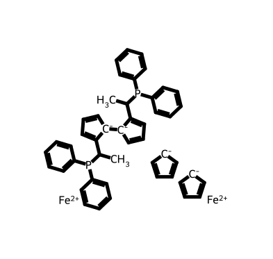 CC(c1ccc[c-]1-[c-]1cccc1C(C)P(c1ccccc1)c1ccccc1)P(c1ccccc1)c1ccccc1.[Fe+2].[Fe+2].c1cc[cH-]c1.c1cc[cH-]c1